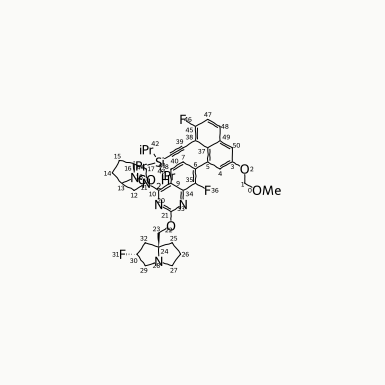 COCOc1cc(-c2ccc3c(N4CC5CCC(C4)N5C(=O)O)nc(OC[C@@]45CCCN4C[C@H](F)C5)nc3c2F)c2c(C#C[Si](C(C)C)(C(C)C)C(C)C)c(F)ccc2c1